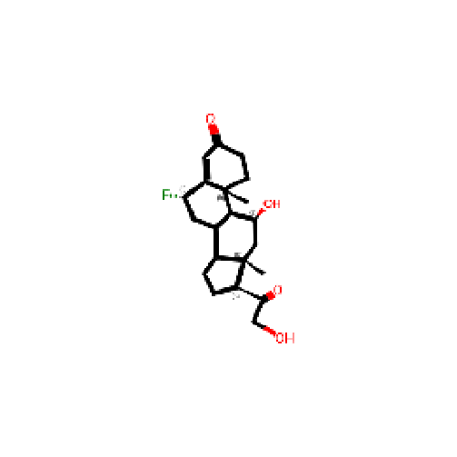 C[C@]12CCC(=O)C=C1[C@@H](F)CC1C2[C@@H](O)C[C@@]2(C)C1CC[C@@H]2C(=O)CO